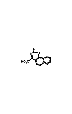 O=C(O)C1=NNOc2c1ccc1ncccc21